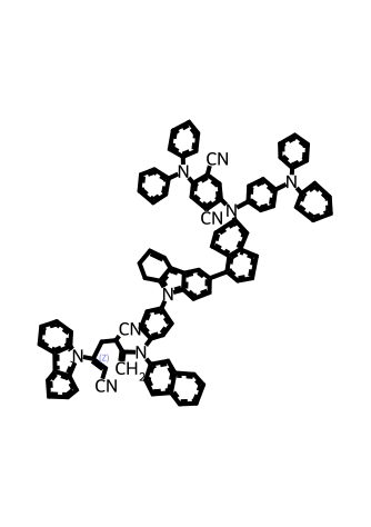 C=C(C(C#N)C/C(=C/C#N)n1c2ccccc2c2ccccc21)N(c1ccc(-n2c3c(c4cc(-c5cccc6cc(N(c7ccc(N(c8ccccc8)c8ccccc8)cc7)c7cc(C#N)c(N(c8ccccc8)c8ccccc8)cc7C#N)ccc56)ccc42)C=CCC3)cc1)c1ccc2ccccc2c1